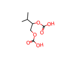 CC(C)C(COC(=O)O)OC(=O)O